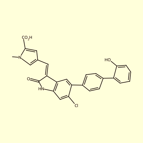 Cn1cc(C=C2C(=O)Nc3cc(Cl)c(-c4ccc(-c5ccccc5O)cc4)cc32)cc1C(=O)O